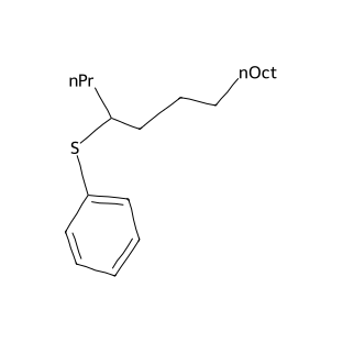 CCCCCCCCCCCC(CCC)Sc1ccccc1